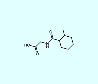 CC1CCCCC1C(=O)NCC(=O)O